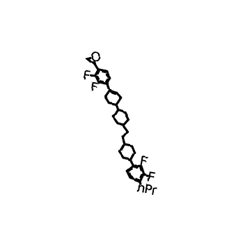 CCCc1ccc(C2CCC(CCC3CCC(C4CC=C(c5ccc(C6CO6)c(F)c5F)CC4)CC3)CC2)c(F)c1F